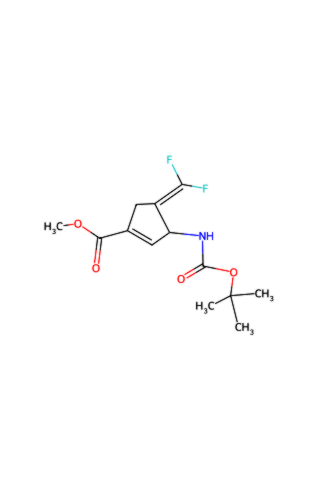 COC(=O)C1=CC(NC(=O)OC(C)(C)C)C(=C(F)F)C1